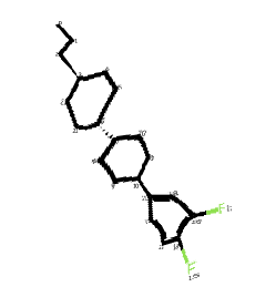 CCC[C@H]1CC[C@H](C2CCC(c3ccc(F)c(F)c3)CC2)CC1